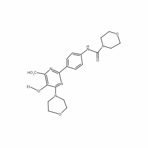 CCOc1c(C(=O)O)nc(-c2ccc(NC(=O)N3CCOCC3)cc2)nc1N1CCOCC1